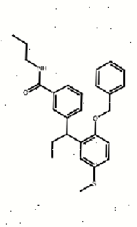 CCCNC(=O)c1cccc(C(CC)c2cc(SC)ccc2OCc2ccccc2)c1